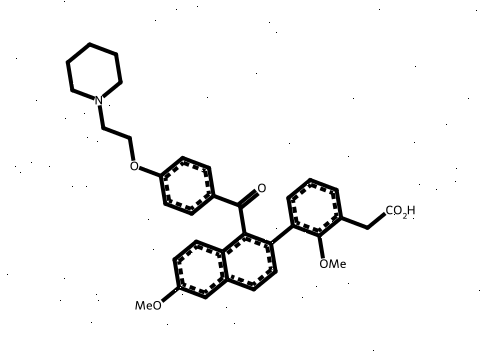 COc1ccc2c(C(=O)c3ccc(OCCN4CCCCC4)cc3)c(-c3cccc(CC(=O)O)c3OC)ccc2c1